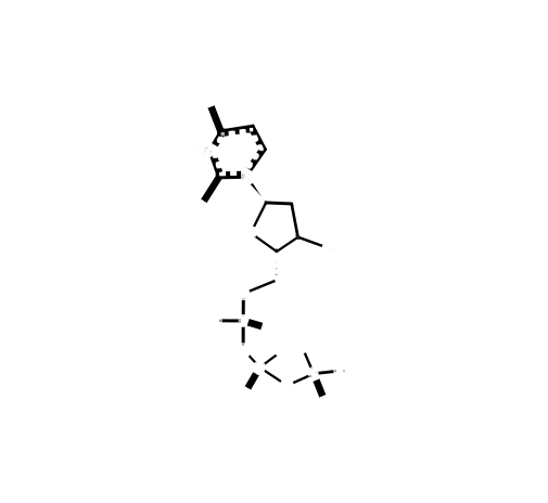 O=c1ccn([C@H]2CC(O)[C@H](COP(=O)(O)OP(=O)(O)OP(=O)(O)O)S2)c(=O)[nH]1